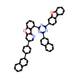 c1ccc2cc(-c3ccc(-c4cnc5c(c4)oc4cccc(-c6nc(-c7ccc8ccccc8c7)nc(-c7ccc8c(c7)oc7ccccc78)n6)c45)cc3)ccc2c1